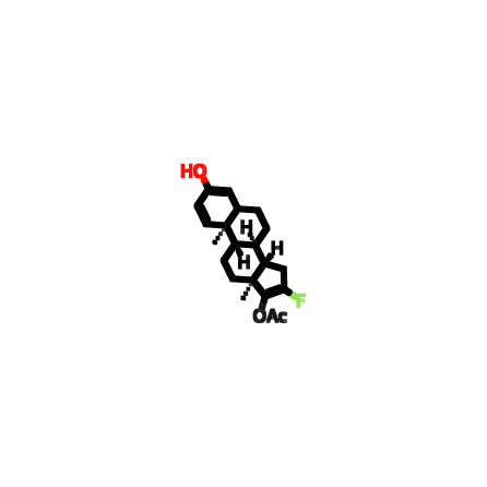 CC(=O)OC1=C(F)C[C@H]2[C@@H]3CCC4C=C(O)C=C[C@]4(C)[C@H]3CC[C@]12C